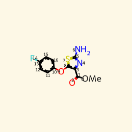 COC(=O)c1nc(N)sc1Oc1ccc(F)cc1